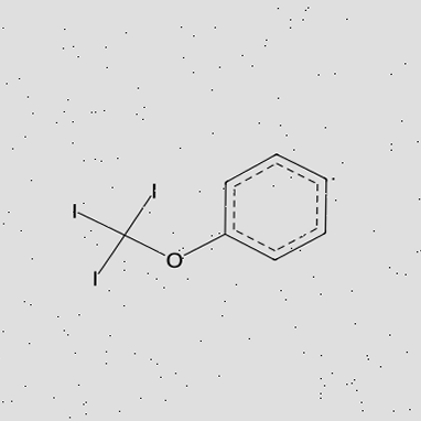 IC(I)(I)Oc1cc[c]cc1